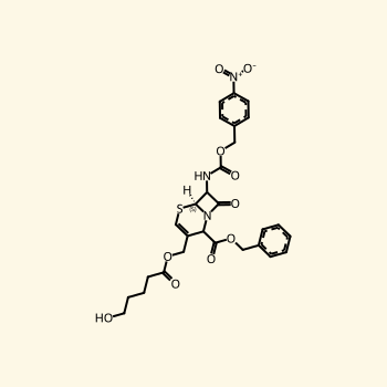 O=C(CCCCO)OCC1=CS[C@H]2C(NC(=O)OCc3ccc([N+](=O)[O-])cc3)C(=O)N2C1C(=O)OCc1ccccc1